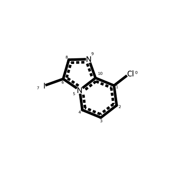 Clc1cccn2c(I)cnc12